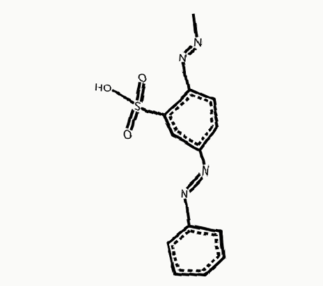 CN=Nc1ccc(N=Nc2ccccc2)cc1S(=O)(=O)O